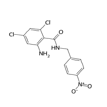 Nc1cc(Cl)cc(Cl)c1C(=O)NCc1ccc([N+](=O)[O-])cc1